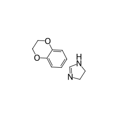 C1=NCCN1.c1ccc2c(c1)OCCO2